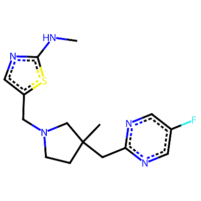 CNc1ncc(CN2CCC(C)(Cc3ncc(F)cn3)C2)s1